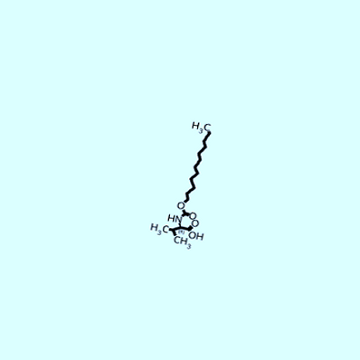 CCCCCCCCCCCCOC(=O)N[C@@H](C(=O)O)C(C)C